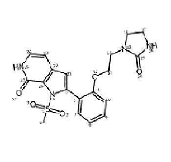 CS(=O)(=O)n1c(-c2ccccc2OCCN2CCNC2=O)cc2cc[nH]c(=O)c21